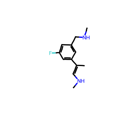 CN/C=C(\C)c1cc(F)cc(CNC)c1